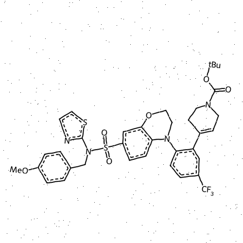 COc1ccc(CN(c2nccs2)S(=O)(=O)c2ccc3c(c2)OCCN3c2ccc(C(F)(F)F)cc2C2=CCN(C(=O)OC(C)(C)C)CC2)cc1